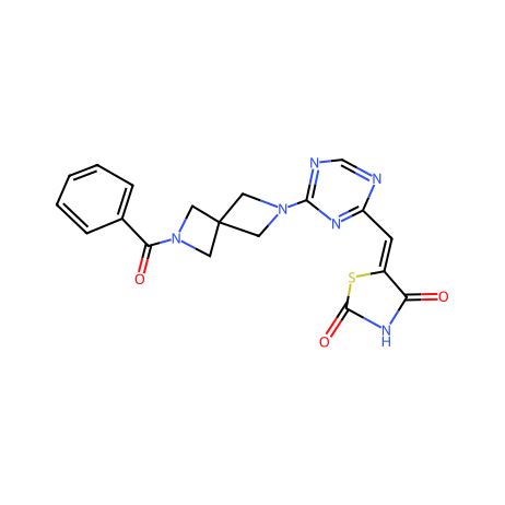 O=C1NC(=O)C(=Cc2ncnc(N3CC4(CN(C(=O)c5ccccc5)C4)C3)n2)S1